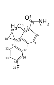 Cc1c(C(N)=O)cccc1C1(c2ccc(F)cc2)CC1